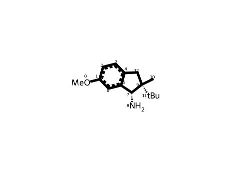 COc1ccc2c(c1)[C@@H](N)[C@@](C)(C(C)(C)C)C2